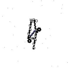 CC[N+]1=C(/C=C/C=C/C=C2/N(CCCCCC(=O)O)c3ccccc3C2(C)CCOCCOCCOCCOC)C(C)(CCOCCOCCOCCOC)c2ccccc21